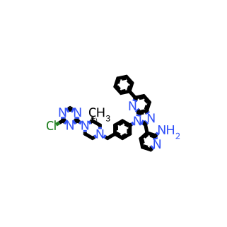 C[C@H]1CN(Cc2ccc(-n3c(-c4cccnc4N)nc4ccc(-c5ccccc5)nc43)cc2)CCN1c1ncnc(Cl)n1